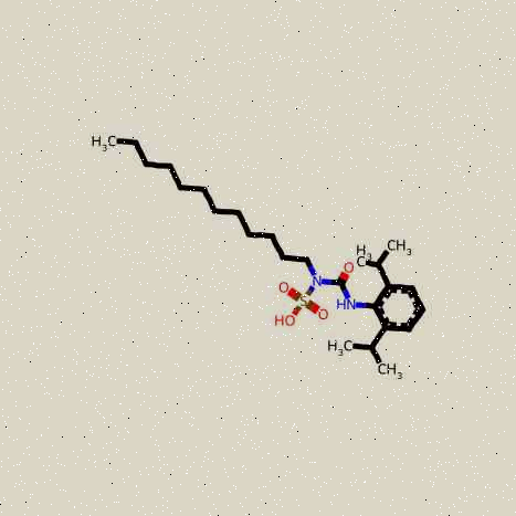 CCCCCCCCCCCCN(C(=O)Nc1c(C(C)C)cccc1C(C)C)S(=O)(=O)O